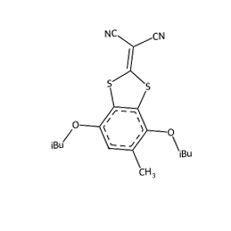 CCC(C)Oc1cc(C)c(OC(C)CC)c2c1SC(=C(C#N)C#N)S2